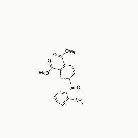 COC(=O)c1ccc(C(=O)c2ccccc2N)cc1C(=O)OC